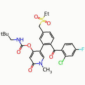 CCS(=O)(=O)Cc1ccc(C(=O)c2ccc(F)cc2Cl)c(-c2cn(C)c(=O)cc2OC(=O)NCC(C)(C)C)c1